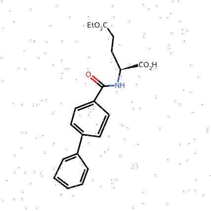 CCOC(=O)CC[C@H](NC(=O)c1ccc(-c2ccccc2)cc1)C(=O)O